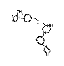 Cc1nccn1-c1ccc(COCC2CN(c3cccc(-n4ccnc4)c3)CCN2)cc1